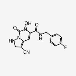 N#CC1=C2C=C(C(=O)NCc3ccc(F)cc3)N(O)C(=O)N2NC1